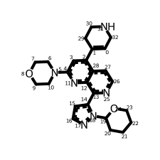 C1=C(c2cc(N3CCOCC3)nc3c(-c4ccnn4C4CCCCO4)nccc23)CCNC1